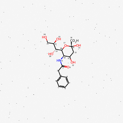 O=C(Cc1ccccc1)N[C@@H]1C(O)C[C@](O)(C(=O)O)OC1[C@H](O)[C@H](O)CO